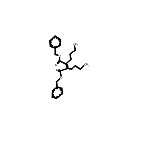 CCCC/C(C(=O)OCc1ccccc1)=C(\CCCC)C(=O)OCc1ccccc1